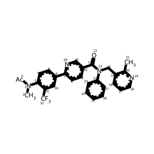 CC(=O)N(C)c1ccc(-c2ccc(C(=O)N(Cc3cccnc3C)c3ccccc3)cn2)cc1C(F)(F)F